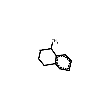 CC1[C]CCc2ccccc21